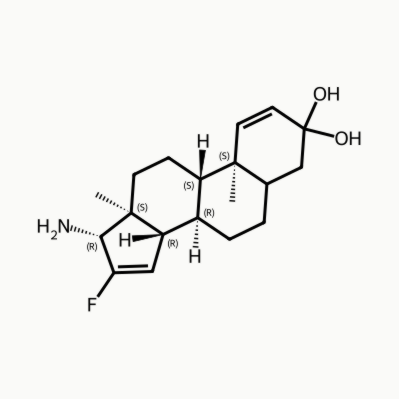 C[C@]12CC[C@H]3[C@@H](CCC4CC(O)(O)C=C[C@@]43C)[C@@H]1C=C(F)[C@@H]2N